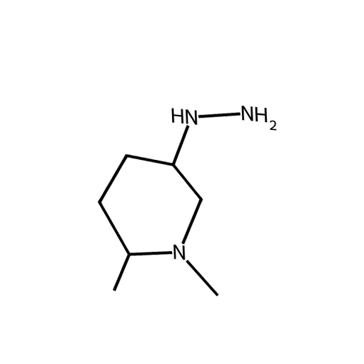 CC1CCC(NN)CN1C